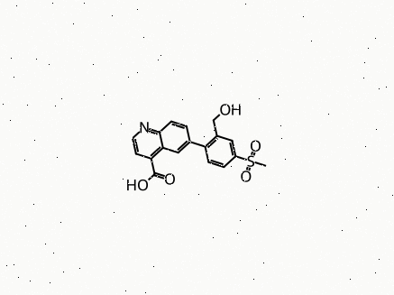 CS(=O)(=O)c1ccc(-c2ccc3nccc(C(=O)O)c3c2)c(CO)c1